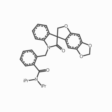 CC(C)N(C(=O)c1ccccc1CN1C(=O)C2(COc3cc4c(cc32)OCO4)c2ccccc21)C(C)C